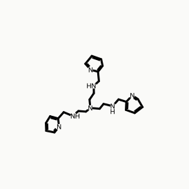 c1ccc(CNCCN(CCNCc2ccccn2)CCNCc2ccccn2)nc1